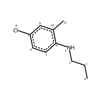 CCCNc1ccc(Cl)cc1C